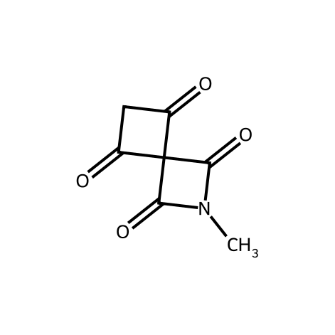 CN1C(=O)C2(C(=O)CC2=O)C1=O